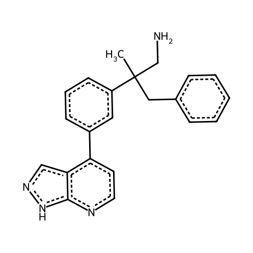 CC(CN)(Cc1ccccc1)c1cccc(-c2ccnc3[nH]ncc23)c1